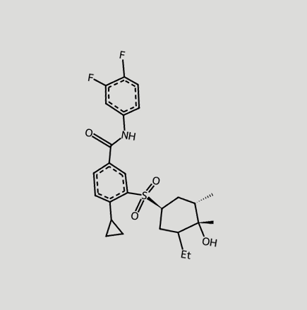 CCC1C[C@@H](S(=O)(=O)c2cc(C(=O)Nc3ccc(F)c(F)c3)ccc2C2CC2)C[C@H](C)[C@]1(C)O